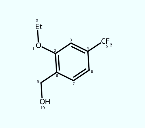 CCOc1cc(C(F)(F)F)ccc1CO